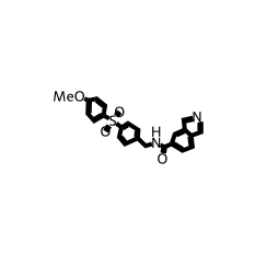 COc1ccc(S(=O)(=O)c2ccc(CNC(=O)c3ccc4ccncc4c3)cc2)cc1